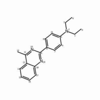 CCN(CC)c1ccc(-c2nc(C)c3ccccc3n2)cc1